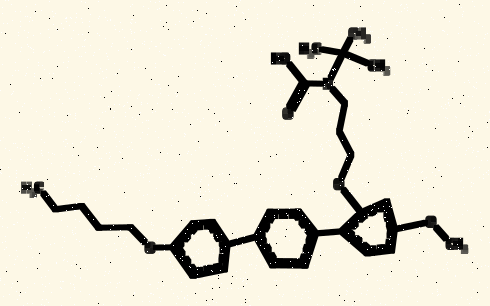 CCCCCOc1ccc(-c2ccc(-c3ccc(OC)cc3OCCCN(C(=O)O)C(C)(C)C)cc2)cc1